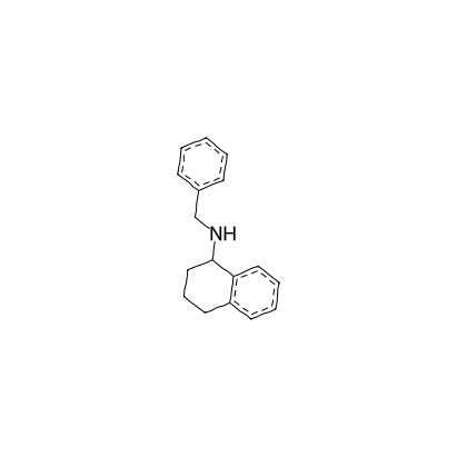 c1ccc(CNC2CCCc3ccccc32)cc1